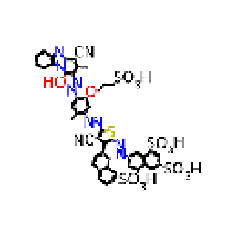 Cc1cc(N=Nc2c(C)c(C#N)c3nc4ccccc4n3c2O)c(OCCCS(=O)(=O)O)cc1N=Nc1sc(N=Nc2cc(S(=O)(=O)O)c3cc(S(=O)(=O)O)cc(S(=O)(=O)O)c3c2)c(-c2ccc3ccccc3c2)c1C#N